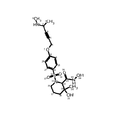 CNC(C)C#CCOc1ccc(S(=O)(=O)N2CCCC(C)(O)C2C(=O)NO)cc1